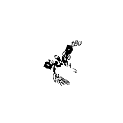 COCCCn1c(C2CCCN(C(=O)[C@@H]3CN(S(=O)(=O)c4ccc(C(C)(C)C)cc4)C[C@H]3N)C2)nc2ccccc21